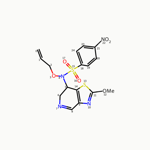 C=CCON(C1CN=Cc2nc(OC)sc21)S(=O)(=O)c1ccc([N+](=O)[O-])cc1